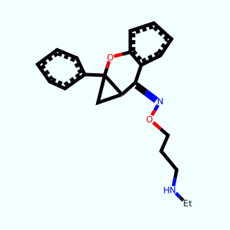 CCNCCCON=C1c2ccccc2OC2(c3ccccc3)CC12